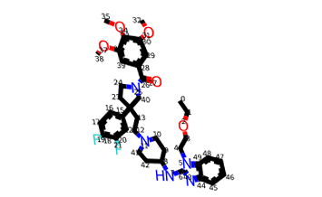 CCOCCn1c(NC2CCN(CCC3(c4ccc(F)c(F)c4)CCN(C(=O)c4cc(OC)c(OC)c(OC)c4)C3)CC2)nc2ccccc21